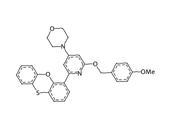 COc1ccc(COc2cc(N3CCOCC3)cc(-c3cccc4c3Oc3ccccc3S4)n2)cc1